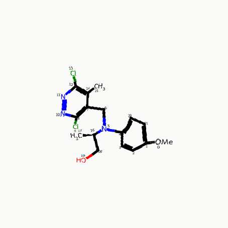 COc1ccc(N(Cc2c(Cl)nnc(Cl)c2C)[C@H](C)CO)cc1